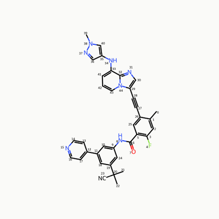 Cc1cc(F)c(C(=O)Nc2cc(-c3ccncc3)cc(C(C)(C)C#N)c2)cc1C#Cc1cnc2c(Nc3cnn(C)c3)cccn12